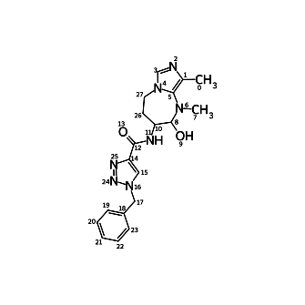 Cc1ncn2c1N(C)C(O)C(NC(=O)c1cn(Cc3ccccc3)nn1)CC2